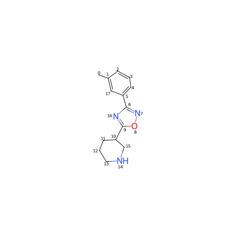 Cc1cccc(-c2noc(C3CCCNC3)n2)c1